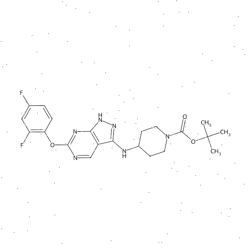 CC(C)(C)OC(=O)N1CCC(Nc2n[nH]c3nc(Oc4ccc(F)cc4F)ncc23)CC1